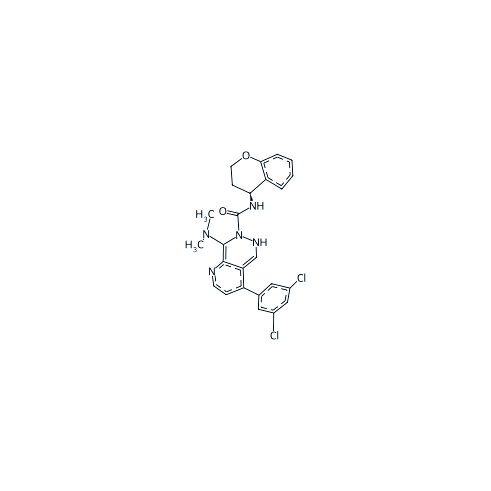 CN(C)C1=c2nccc(-c3cc(Cl)cc(Cl)c3)c2=CNN1C(=O)N[C@H]1CCOc2ccccc21